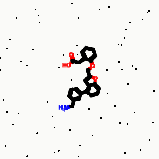 NCc1cccc(-c2cccc3oc(COc4ccccc4CC(=O)O)cc23)c1